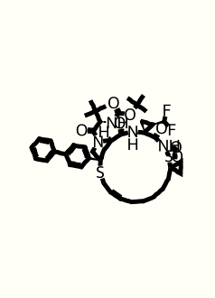 CC(C)(C)OC(=O)N[C@H](C(=O)N1C[C@]2(c3ccc(-c4ccccc4)cc3)C[C@H]1C(=O)N[C@@]1(C[C@H]1C(F)F)C(=O)NS(=O)(=O)C1(CCCCC/C=C\CS2)CC1)C(C)(C)C